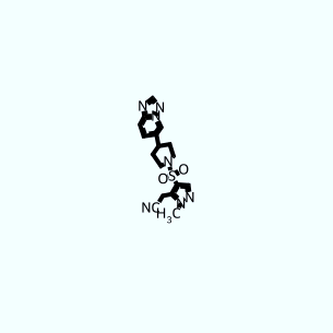 Cn1ncc(S(=O)(=O)N2CCC(c3ccc4ncnn4c3)CC2)c1CC#N